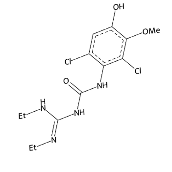 CCN=C(NCC)NC(=O)Nc1c(Cl)cc(O)c(OC)c1Cl